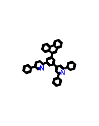 C1=CC[C@@H](c2cc(-c3cc(-c4cc5ccccc5c5ccccc45)cc(C4CC=C(c5ccccc5)C=N4)c3)cc(-c3ccccc3)n2)C=C1